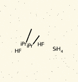 CC(C)C.CC(C)C.F.F.[SiH4]